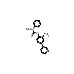 Cc1cc(-c2cccnc2)ccc1OC(=O)N(C)c1ccccc1